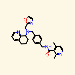 Cc1ccnc(C)c1C(=O)NCc1ccc(CN(Cc2ncco2)C2CCCc3cccnc32)cc1